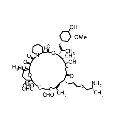 CO[C@@H]1C[C@H](/C=C(\C)[C@H]2OC(=O)[C@@H]3CCCCN3C(=O)C(=O)[C@]3(O)O[C@H]([C@@H](C=O)C[C@@H](C=O)C/C(C)=C/[C@@H](CCCSC[C@@H](C)N)C(=O)C[C@H](O)[C@H]2C)[C@@H](C=O)C[C@H]3C)CC[C@H]1O